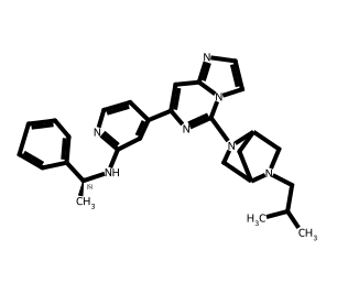 CC(C)CN1CC2CC1CN2c1nc(-c2ccnc(N[C@@H](C)c3ccccc3)c2)cc2nccn12